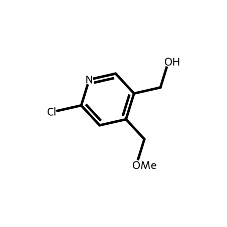 COCc1cc(Cl)ncc1CO